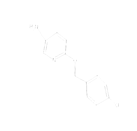 Nc1ccc(OCc2ccc(Cl)cc2)nc1